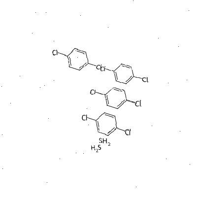 Clc1ccc(Cl)cc1.Clc1ccc(Cl)cc1.Clc1ccc(Cl)cc1.Clc1ccc(Cl)cc1.S.S